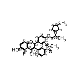 CC1=C(c2cccc(S(C)(=O)=O)c2)C(c2ccc(OCC(C)N3CCC(C)C3)cc2)Oc2ccc(O)c(F)c21